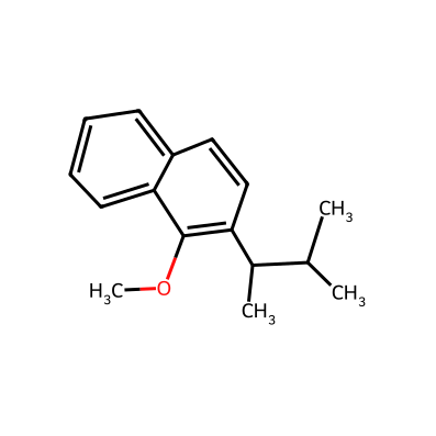 COc1c(C(C)C(C)C)ccc2ccccc12